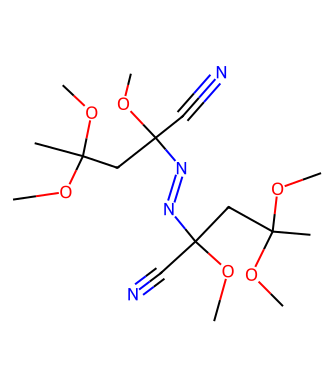 COC(C#N)(CC(C)(OC)OC)/N=N/C(C#N)(CC(C)(OC)OC)OC